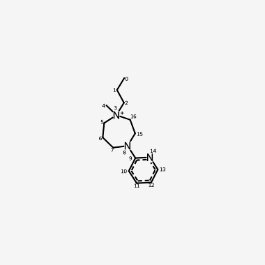 CCC[N+]1(C)CCCN(c2ccccn2)CC1